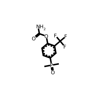 CP(C)(=O)c1ccc(OC(N)=O)c(C(F)(F)F)c1